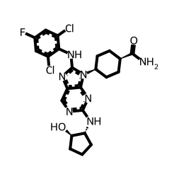 NC(=O)[C@H]1CC[C@@H](n2c(Nc3c(Cl)cc(F)cc3Cl)nc3cnc(N[C@@H]4CCC[C@H]4O)nc32)CC1